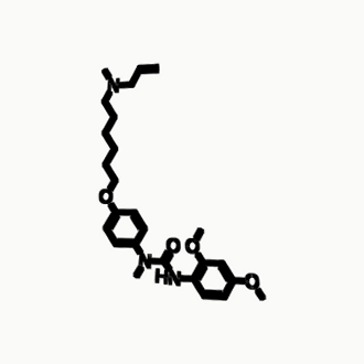 C=CCN(C)CCCCCCOc1ccc(N(C)C(=O)Nc2ccc(OC)cc2OC)cc1